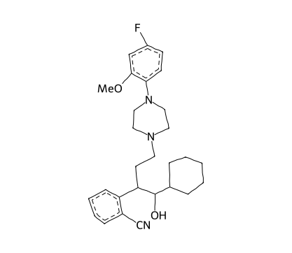 COc1cc(F)ccc1N1CCN(CCC(c2ccccc2C#N)C(O)C2CCCCC2)CC1